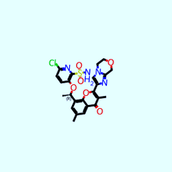 Cc1cc([C@@H](C)Oc2ccc(Cl)nc2S(N)(=O)=O)c2oc(-c3cn4c(n3)COCC4)c(C)c(=O)c2c1